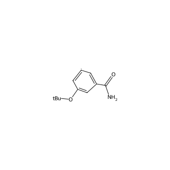 CC(C)(C)Oc1c[c]cc(C(N)=O)c1